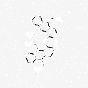 CCc1c2ccccc2c(CC)c2c(Oc3c(Cl)ccc4c(CC)c5ccccc5c(CC)c34)c(Cl)ccc12